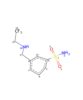 NS(=O)(=O)c1cccc(CNCC(F)(F)F)c1